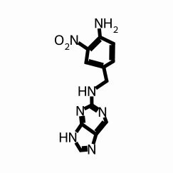 Nc1ccc(CNc2ncc3nc[nH]c3n2)cc1[N+](=O)[O-]